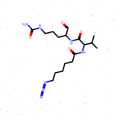 CC(C)C(NC(=O)CCCCCN=[N+]=[N-])C(=O)NC(C=O)CCCNC(N)=O